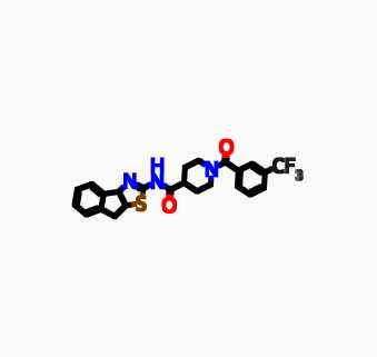 O=C(NC1=NC2c3ccccc3CC2S1)C1CCN(C(=O)c2cccc(C(F)(F)F)c2)CC1